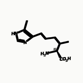 Cc1[nH]cnc1CCCC(C)[C@H](N)C(=O)O